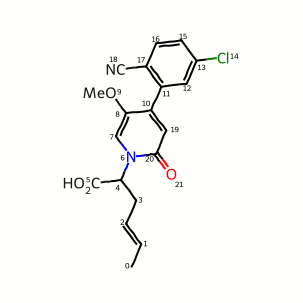 CC=CCC(C(=O)O)n1cc(OC)c(-c2cc(Cl)ccc2C#N)cc1=O